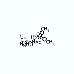 CC(=O)CN(CCNC(=O)OC(c1ccc(C)cc1)c1ccc(C)cc1)C(=O)Cn1cc2c(C)ncnc2n1